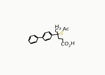 CC(=O)SC(C)(CCC(=O)O)c1ccc(-c2ccccc2)cc1